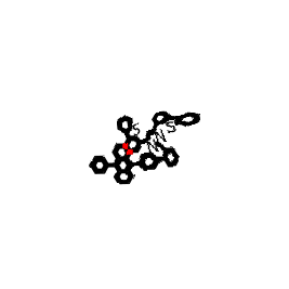 c1ccc(-c2c3ccccc3c(-c3ccc(-c4ccccc4-c4nc(-c5cccc6c5sc5ccccc56)cc(-c5cccc6c5sc5ccccc56)n4)cc3)c3ccccc23)cc1